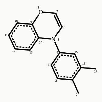 Cc1ccc(N2C=COc3ccccc32)cc1C